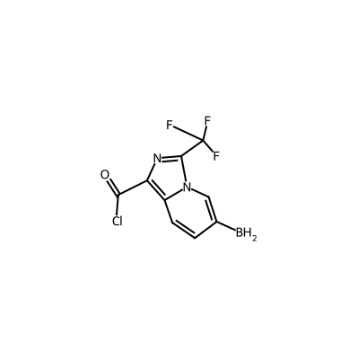 Bc1ccc2c(C(=O)Cl)nc(C(F)(F)F)n2c1